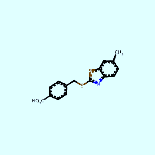 Cc1ccc2nc(SCc3ccc(C(=O)O)cc3)sc2c1